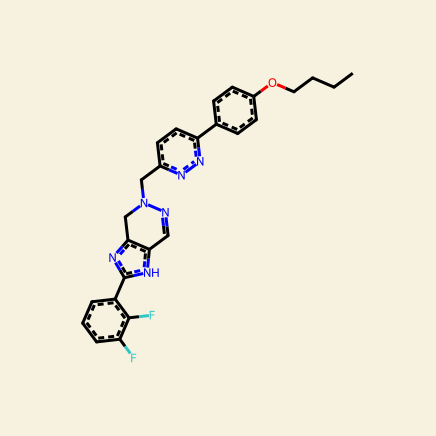 CCCCOc1ccc(-c2ccc(CN3Cc4nc(-c5cccc(F)c5F)[nH]c4C=N3)nn2)cc1